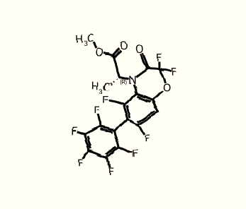 COC(=O)[C@@H](C)N1C(=O)C(F)(F)Oc2cc(F)c(-c3c(F)c(F)c(F)c(F)c3F)c(F)c21